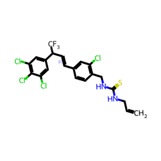 C=CCNC(=S)NCc1ccc(/C=C/C(c2cc(Cl)c(Cl)c(Cl)c2)C(F)(F)F)cc1Cl